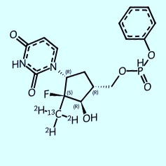 [2H][13C]([2H])([2H])[C@@]1(F)[C@H](O)[C@@H](CO[PH](=O)Oc2ccccc2)C[C@H]1n1ccc(=O)[nH]c1=O